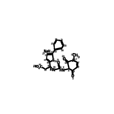 CN1C=CC(=O)C(NC(=O)NC(CC(=O)O)c2ccc(-c3ccccc3)s2)C1=O.[NaH]